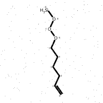 C=CCCCCOOO[SiH3]